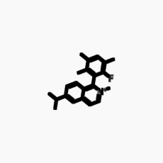 Cc1cc(C)c(F)c(-c2c3ccc(C(C)C)cc3cc[n+]2C)c1C